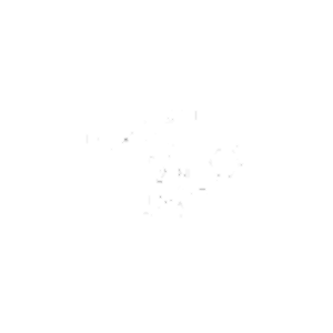 CCCCCCCCCCNC(=O)[C@H](Cc1ccccc1)NC(=O)[C@@H]1C[C@H](C(=O)O)C[C@H](C(=O)O)C1